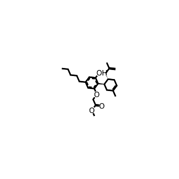 C=C(C)C[C@@H]1CC=C(C)C[C@H]1c1c(O)cc(CCCCC)cc1OCC(=O)OC